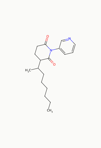 CCCCCCC(C)C1CCC(=O)N(c2cccnc2)C1=O